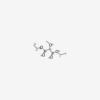 CCOC(=O)C(OC)C(=O)OCC